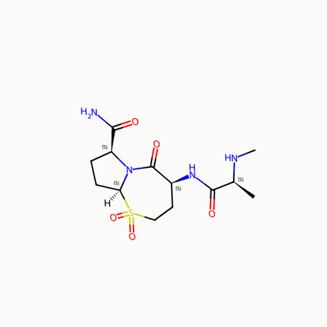 CN[C@@H](C)C(=O)N[C@H]1CCS(=O)(=O)[C@H]2CC[C@@H](C(N)=O)N2C1=O